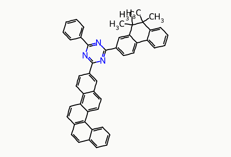 CC1(C)c2ccccc2-c2ccc(-c3nc(-c4ccccc4)nc(-c4ccc5c(ccc6c5ccc5ccc7ccccc7c56)c4)n3)cc2C1(C)C